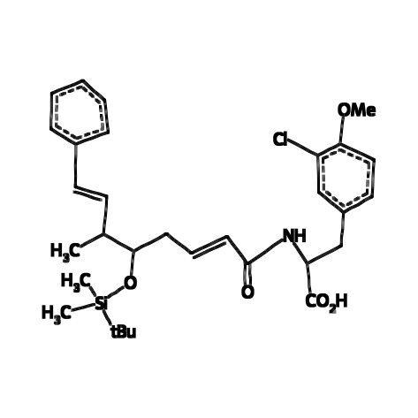 COc1ccc(CC(NC(=O)/C=C/CC(O[Si](C)(C)C(C)(C)C)C(C)/C=C/c2ccccc2)C(=O)O)cc1Cl